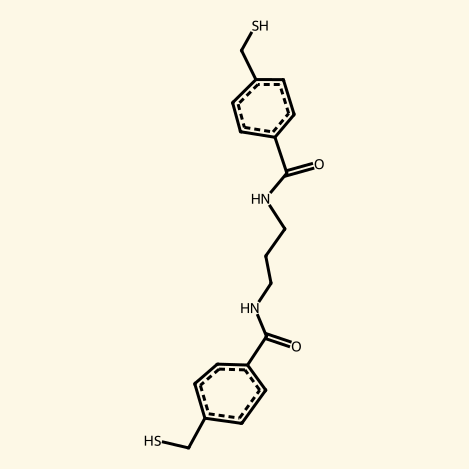 O=C(NCCCNC(=O)c1ccc(CS)cc1)c1ccc(CS)cc1